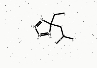 CCC1(CC(C)C)N=NN=N1